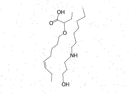 CC/C=C\CCCCOC(CC)C(=O)O.CCCCCCCNCCCO